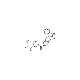 CN(C(=O)c1cc(Nc2ccc3c(c2)CC2(C3)C(=O)Nc3ncccc32)ncn1)C1CC1